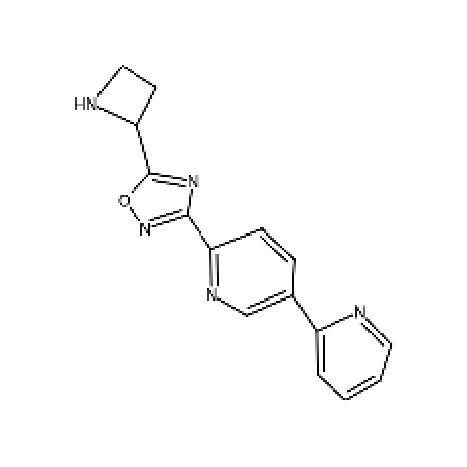 c1ccc(-c2ccc(-c3noc(C4CCN4)n3)nc2)nc1